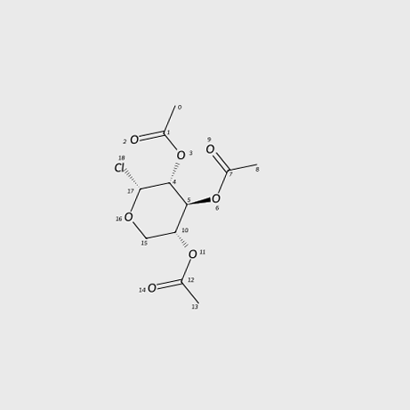 CC(=O)O[C@@H]1[C@@H](OC(C)=O)[C@H](OC(C)=O)CO[C@@H]1Cl